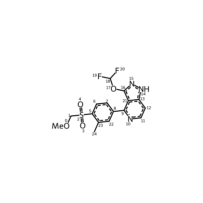 COCS(=O)(=O)c1ccc(-c2nccc3[nH]nc(OC(F)F)c23)cc1C